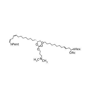 CCCCC/C=C\C/C=C\CCCCCCCC[C@H](COCCCCCCCCC=CC[C@@H](CCCCCC)OC(C)=O)OC(=O)OCCCN(C)C